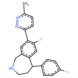 Cc1ccc(-c2cc3c(cc2F)C(c2ccc(F)cc2)CCNC3)nn1